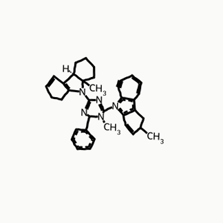 CC1C=Cc2c(c3c(n2C2=NC(N4C5=C(C=CCC5)[C@H]5CCCCC54C)=NC(c4ccccc4)N2C)C#CC=C=C3)C1